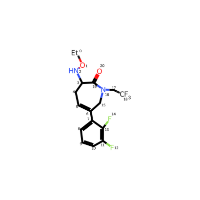 CCONC1CC=C(c2cccc(F)c2F)CN(CC(F)(F)F)C1=O